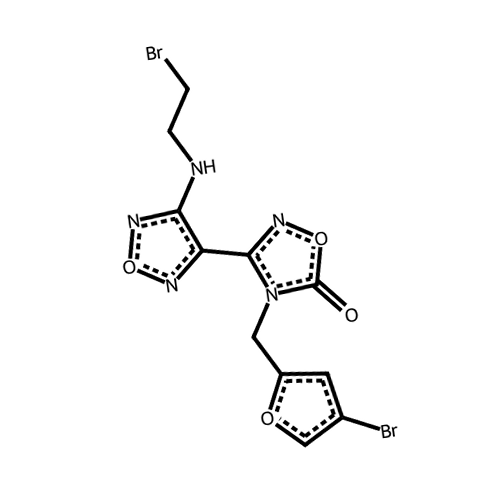 O=c1onc(-c2nonc2NCCBr)n1Cc1cc(Br)co1